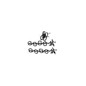 CC[N+](CC)(CC)CCCOCCOCCOCCOC.CC[N+](CC)(CC)CCCOCCOCCOCCOC.O=P([O-])([O-])F